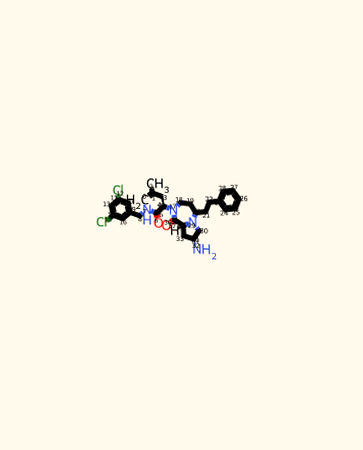 C=C(C)C[C@H](C(=O)NCc1cc(Cl)cc(Cl)c1)N1CCC(CCc2ccccc2)N2C[C@H](N)C[C@H]2C1=O